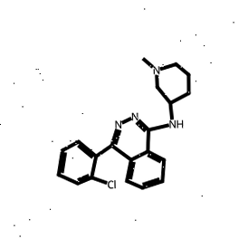 CN1CCCC(Nc2nnc(-c3ccccc3Cl)c3ccccc23)C1